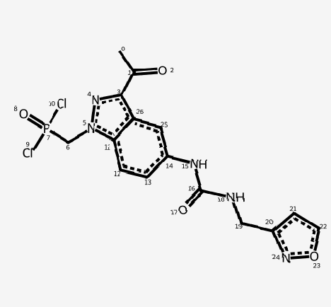 CC(=O)c1nn(CP(=O)(Cl)Cl)c2ccc(NC(=O)NCc3ccon3)cc12